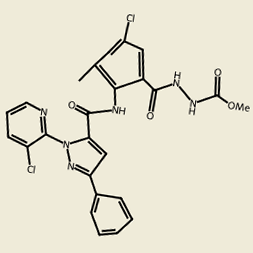 COC(=O)NNC(=O)c1cc(Cl)cc(C)c1NC(=O)c1cc(-c2ccccc2)nn1-c1ncccc1Cl